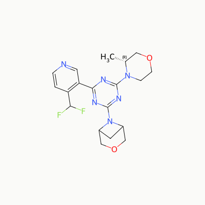 C[C@@H]1COCCN1c1nc(-c2cnccc2C(F)F)nc(N2C3COCC2C3)n1